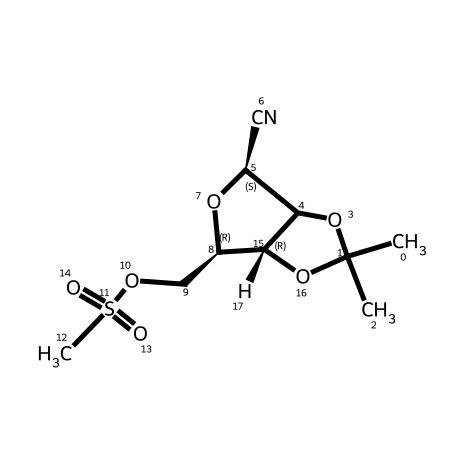 CC1(C)OC2[C@H](C#N)O[C@H](COS(C)(=O)=O)[C@H]2O1